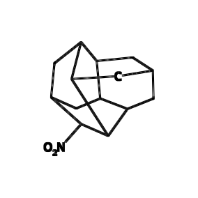 O=[N+]([O-])C1C2CC3C4CC5CC3C1C(C5)C4C2